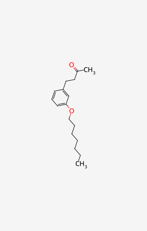 CCCCCCCOc1cccc(CCC(C)=O)c1